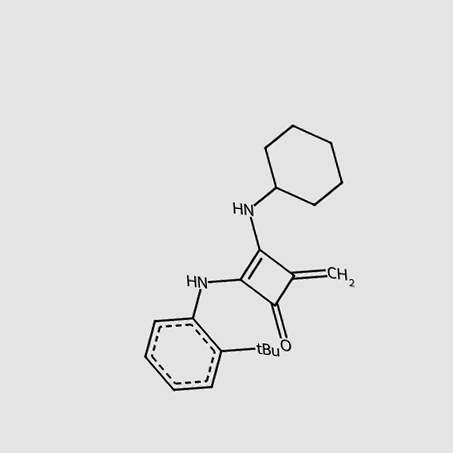 C=C1C(=O)C(Nc2ccccc2C(C)(C)C)=C1NC1CCCCC1